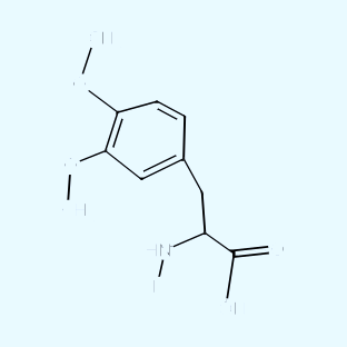 COc1ccc(CC(NF)C(=O)O)cc1OC